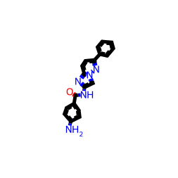 Nc1ccc(C(=O)Nc2cn3nc(-c4ccccc4)ccc3n2)cc1